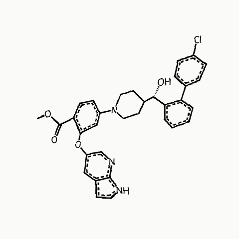 COC(=O)c1ccc(N2CCC([C@H](O)c3ccccc3-c3ccc(Cl)cc3)CC2)cc1Oc1cnc2[nH]ccc2c1